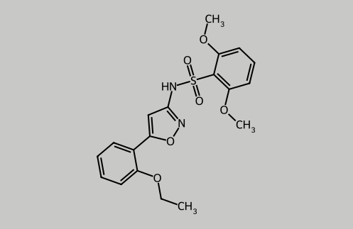 CCOc1ccccc1-c1cc(NS(=O)(=O)c2c(OC)cccc2OC)no1